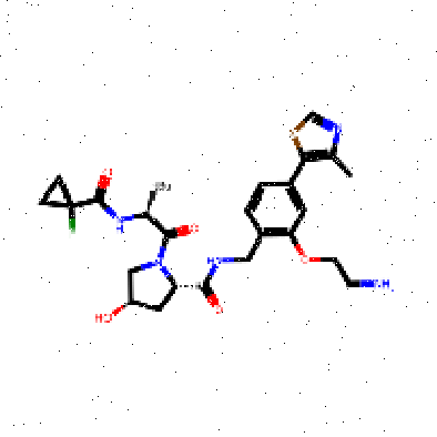 Cc1ncsc1-c1ccc(CNC(=O)[C@@H]2C[C@@H](O)CN2C(=O)[C@@H](NC(=O)C2(F)CC2)C(C)(C)C)c(OCCN)c1